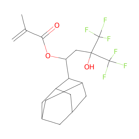 C=C(C)C(=O)OC(CC(O)(C(F)(F)F)C(F)(F)F)C1C2CC3CC(C2)CC1C3